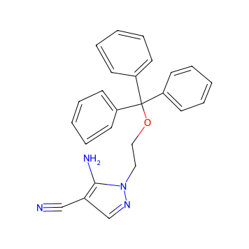 N#Cc1cnn(CCOC(c2ccccc2)(c2ccccc2)c2ccccc2)c1N